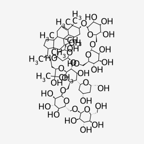 C[C@H](CC[C@@H](O[C@@H]1O[C@H](CO[C@H]2O[C@H](CO[C@H]3O[C@H](CO)[C@@H](O)[C@H](O)[C@H]3O)[C@@H](O)[C@H](O)[C@H]2O)[C@@H](C2C[C@@H](O)C[C@@H](CO)O2)[C@H](O)[C@H]1O[C@H]1C[C@@H](O)C[C@@H](CO)O1)C(C)(C)O)C1CC[C@@]2(C)C3CC=C4C(CC[C@H](O[C@@H]5O[C@H](CO[C@H]6O[C@H](CO)[C@@H](O)[C@H](O)[C@H]6O)[C@@H](O)[C@H](O)[C@H]5O)C4(C)C)[C@]3(C)[C@H](O)C[C@]12C